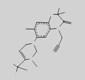 C#CCN1C(=O)C(F)(F)Oc2cc(F)c(N3CC=C(C(F)(F)F)N(C)C3)cc21